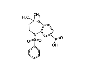 CC1(C)CCN(S(=O)(=O)c2ccccc2)c2cc(C(=O)O)ccc2S1